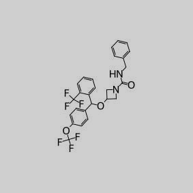 O=C(NCc1ccccc1)N1CC(OC(c2ccc(OC(F)(F)F)cc2)c2ccccc2C(F)(F)F)C1